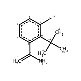 C=C(N)c1cccc(F)c1C(C)(C)C